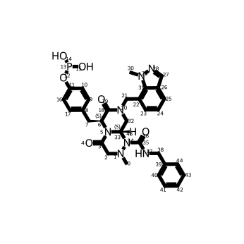 CN1CC(=O)N2[C@@H](Cc3ccc(OP(O)O)cc3)C(=O)N(Cc3cccc4cnn(C)c34)C[C@@H]2N1C(=O)NCc1ccccc1